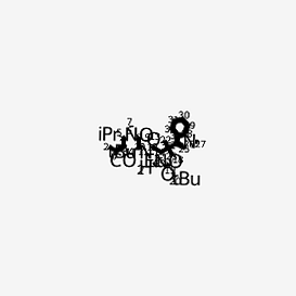 CCOC(=O)/C(C)=C/[C@H](C(C)C)N(C)C(=O)[C@@H](NC(=O)[C@@H](N(C)C(=O)OC(C)(C)C)C(C)(C)c1cn(C)c2ccccc12)C(C)(C)C